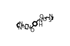 O=C(NCc1ccc(C(=O)N2CCN(c3ncccn3)CC2)cc1)OCc1nccs1